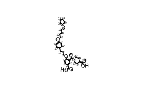 O=C(O)c1ccc(OCCCc2ccc(OCCCCOC3CCCC3)cc2)c(C(=O)N2CCC(C(=O)O)CC2)c1